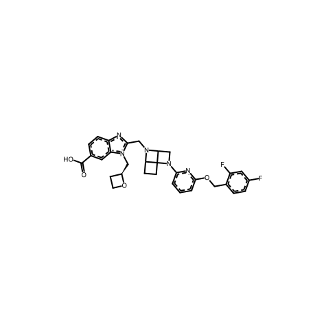 O=C(O)c1ccc2nc(CN3C4CCC45C3CN5c3cccc(OCc4ccc(F)cc4F)n3)n(C[C@@H]3CCO3)c2c1